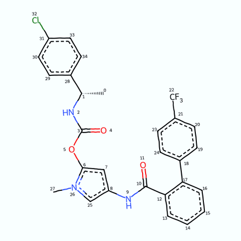 C[C@H](NC(=O)Oc1cc(NC(=O)c2ccccc2-c2ccc(C(F)(F)F)cc2)cn1C)c1ccc(Cl)cc1